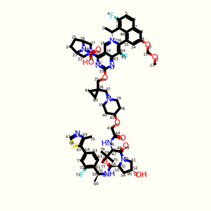 CCc1c(F)ccc2cc(OCOC)cc(-c3ncc4c(N5CC6CCC(C5)N6C(=O)O)nc(OCC5(CN6CCC(OCC(=O)N[C@H](C(=O)N7C[C@H](O)C[C@H]7C(=O)N[C@@H](C)c7ccc(-c8scnc8C)cc7F)C(C)(C)C)CC6)CC5)nc4c3F)c12